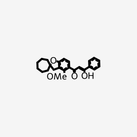 COc1c(C(=O)/C=C(\O)c2ccccc2)ccc2c1CC1(CCCCCC1)O2